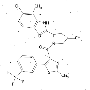 C=C1CC(c2nc3ccc(Cl)c(C)c3[nH]2)N(C(=O)c2nc(C)sc2-c2cccc(C(F)(F)F)c2)C1